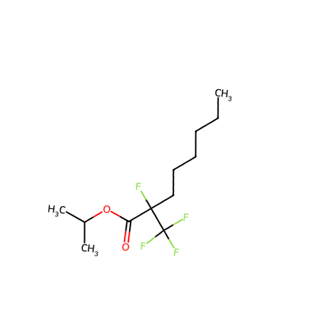 CCCCCCC(F)(C(=O)OC(C)C)C(F)(F)F